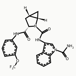 NC(=O)n1cc(NC(=O)N2[C@H](C(=O)Nc3cccc(OC(F)(F)F)c3)C[C@@H]3C[C@@H]32)c2ccccc21